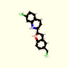 ClCc1ccc2oc(-c3ccc4ccc(Cl)cc4n3)cc2c1